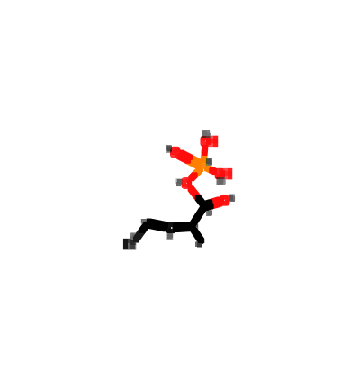 CCC=C=C(C)C(=O)OP(=O)(O)O